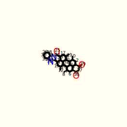 Cc1cc2c3c(cc(C)c4c5c(C)cc6c7c(cc(C)c(c1c34)c57)c(=O)n1c3ccccc3nc61)C(=O)CC2=O